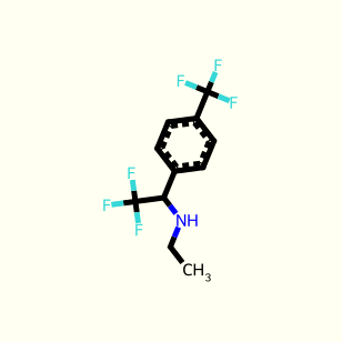 CCNC(c1ccc(C(F)(F)F)cc1)C(F)(F)F